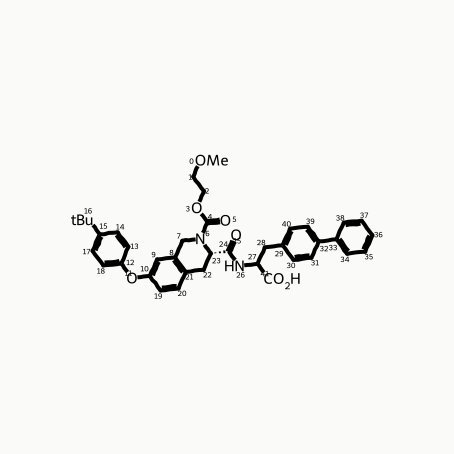 COCCOC(=O)N1Cc2cc(Oc3ccc(C(C)(C)C)cc3)ccc2C[C@H]1C(=O)NC(Cc1ccc(-c2ccccc2)cc1)C(=O)O